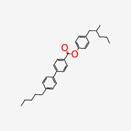 CCCCCc1ccc(-c2ccc(C(=O)Oc3ccc(CC(C)CCC)cc3)cc2)cc1